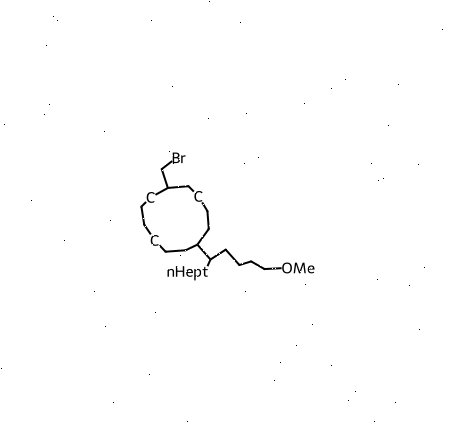 CCCCCCCC(CCCCOC)C1CCCCCCC(CBr)CCCC1